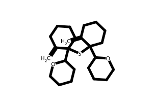 C=C1CCCCC1(SC1(C2CCCCO2)CCCCC1=C)C1CCCCO1